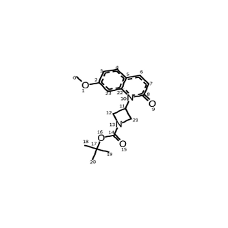 COc1ccc2ccc(=O)n(C3CN(C(=O)OC(C)(C)C)C3)c2c1